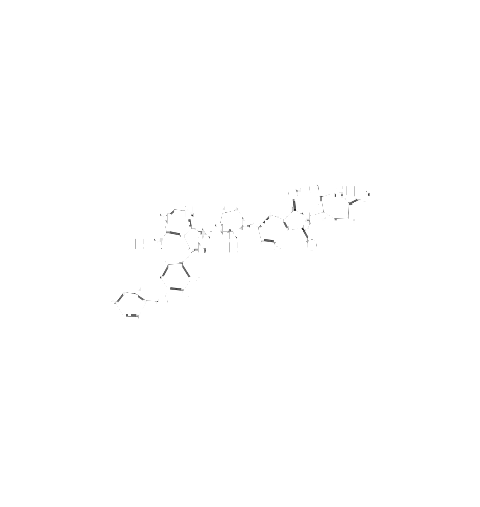 Nc1ncnc2c1c(-c1ccc(Oc3ccccc3)cc1)nn2N1CCN(c2ccc3c(c2)C(=O)N(C2CCC(=O)NC2=O)C3=O)N1